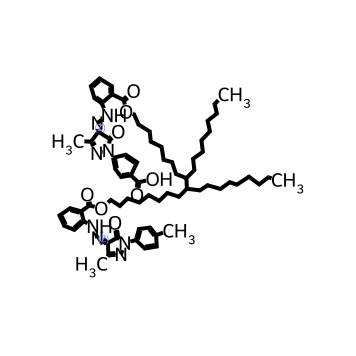 CCCCCCCCCC(CCCCCCCCOC(=O)c1ccccc1N/N=C1\C(=O)N(c2ccc(C)cc2)N=C1C)C(CCCCCCCCC)CCCCCCCCOC(=O)c1ccccc1N/N=C1\C(=O)N(c2ccc(C(=O)O)cc2)N=C1C